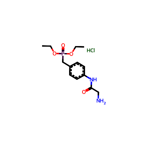 CCOP(=O)(Cc1ccc(NC(=O)CN)cc1)OCC.Cl